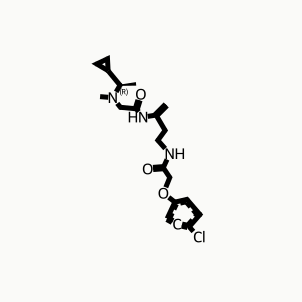 C=C(CCNC(=O)COc1ccc(Cl)cc1)NC(=O)CN(C)[C@H](C)C1CC1